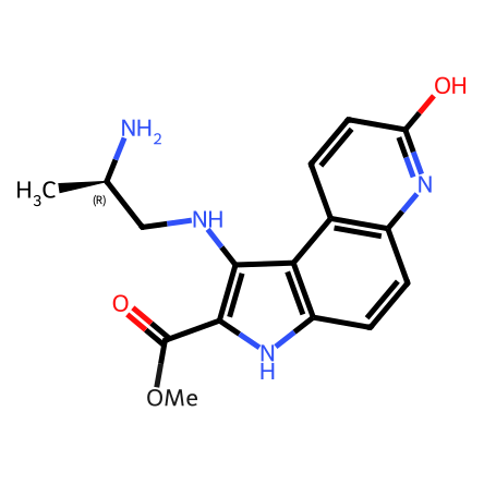 COC(=O)c1[nH]c2ccc3nc(O)ccc3c2c1NC[C@@H](C)N